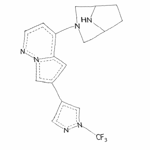 FC(F)(F)n1cc(-c2cc3c(N4CC5CCC(C4)N5)ccnn3c2)cn1